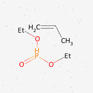 C=CC.CCO[PH](=O)OCC